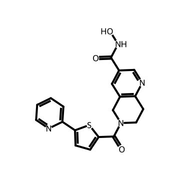 O=C(NO)c1cnc2c(c1)CN(C(=O)c1ccc(-c3ccccn3)s1)CC2